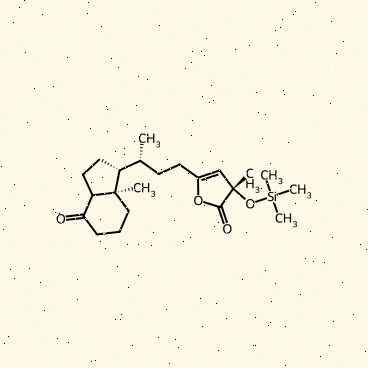 C[C@H](CCC1=C[C@](C)(O[Si](C)(C)C)C(=O)O1)[C@H]1CCC2C(=O)CCC[C@@]21C